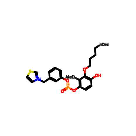 CCCCCCCCCCCCCCOc1c(O)ccc(O[PH](=O)Oc2cccc(C[n+]3ccsc3)c2)c1OC